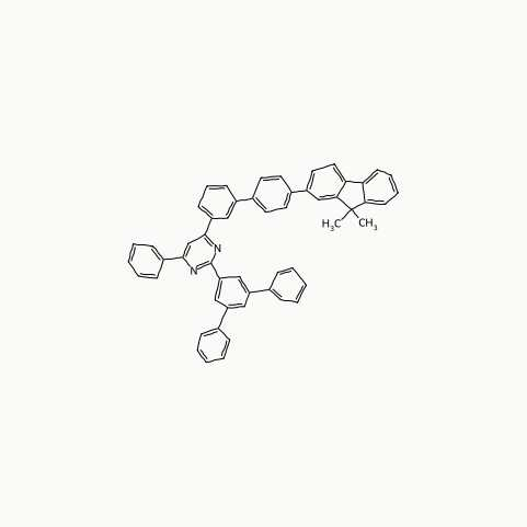 CC1(C)c2ccccc2-c2ccc(-c3ccc(-c4cccc(-c5cc(-c6ccccc6)nc(-c6cc(-c7ccccc7)cc(-c7ccccc7)c6)n5)c4)cc3)cc21